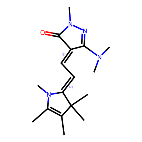 CC1=C(C)C(C)(C)/C(=C/C=C2/C(=O)N(C)N=C2N(C)C)N1C